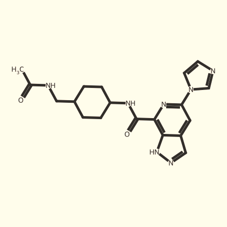 CC(=O)NCC1CCC(NC(=O)c2nc(-n3ccnc3)cc3cn[nH]c23)CC1